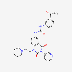 CC(=O)c1cccc(NC(=O)Nc2ccc3c(c2)c(=O)n(-c2cccnc2)c(=O)n3CCN2CCCCC2)c1